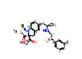 COC(=O)C1(C(=O)OC)Cc2cc(CC(C)NC[C@@H](O)c3cccc(Cl)c3)ccc2N1C